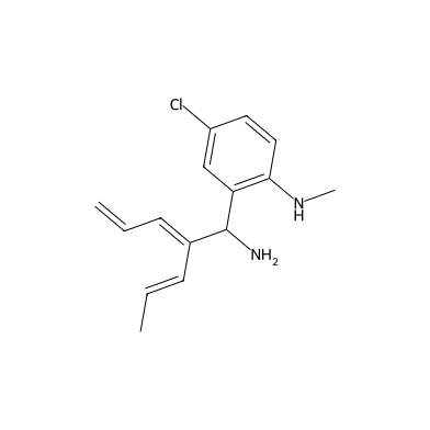 C=CC=C(C=CC)C(N)c1cc(Cl)ccc1NC